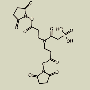 O=C(CCN(CCC(=O)ON1C(=O)CCC1=O)C(=O)CP(=O)(O)O)ON1C(=O)CCC1=O